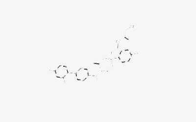 C[C@@H](c1ccc(-c2ccc(F)cc2F)cc1)N1CC[C@@](CCNC(=O)CN)(c2ccc(F)cc2)CC1=O